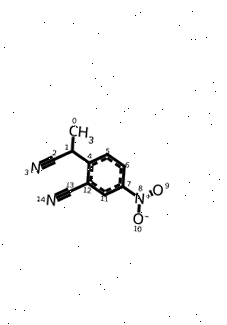 CC(C#N)c1ccc([N+](=O)[O-])cc1C#N